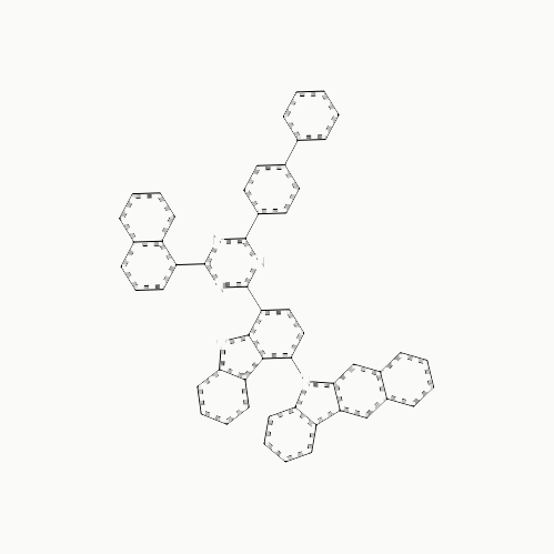 c1ccc(-c2ccc(-c3nc(-c4cccc5ccccc45)nc(-c4ccc(-n5c6ccccc6c6cc7ccccc7cc65)c5c4oc4ccccc45)n3)cc2)cc1